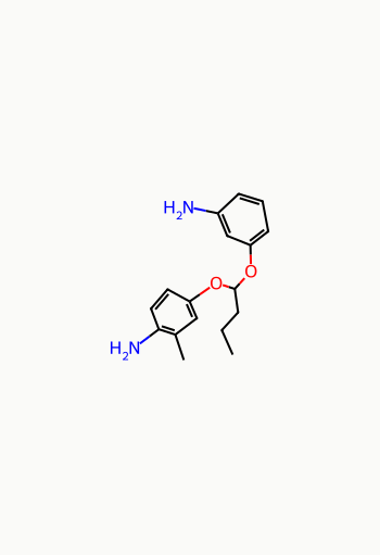 CCCC(Oc1cccc(N)c1)Oc1ccc(N)c(C)c1